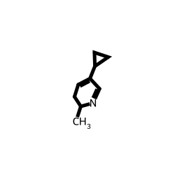 CC1CC=C(C2CC2)C=N1